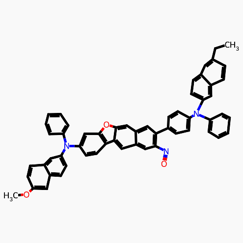 CCc1ccc2cc(N(c3ccccc3)c3ccc(-c4cc5cc6oc7cc(N(c8ccccc8)c8ccc9cc(OC)ccc9c8)ccc7c6cc5cc4N=O)cc3)ccc2c1